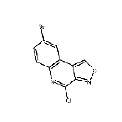 Clc1nc2ccc(Br)cc2c2conc12